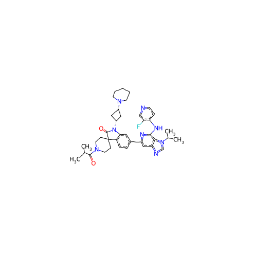 CC(C)C(=O)N1CCC2(CC1)C(=O)N([C@H]1C[C@@H](N3CCCCC3)C1)c1cc(-c3cc4ncn(C(C)C)c4c(Nc4ccncc4F)n3)ccc12